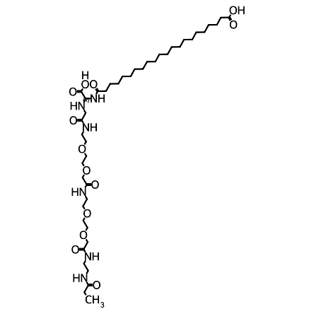 CCC(=O)NCCNC(=O)COCCOCCNC(=O)COCCOCCNC(=O)CN[C@H](NC(=O)CCCCCCCCCCCCCCCCCCCCC(=O)O)C(=O)O